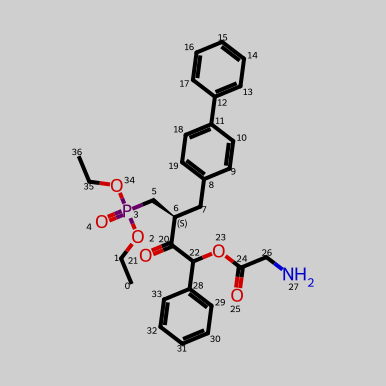 CCOP(=O)(C[C@@H](Cc1ccc(-c2ccccc2)cc1)C(=O)C(OC(=O)CN)c1ccccc1)OCC